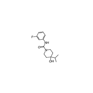 CC(C)C1(O)CCN(C(=O)Nc2cccc(F)c2)CC1